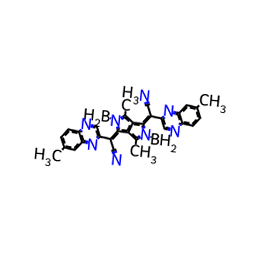 Bn1c(C)c2/c(=C(\C#N)c3cnc4ccc(C)cc4n3)n(B)c(C)c2/c1=C(\C#N)c1cnc2ccc(C)cc2n1